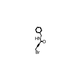 O=C(C#CCBr)NCc1ccccc1